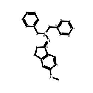 COc1ccc2c(c1)CCC2=NN(Cc1ccccc1)Cc1ccccc1